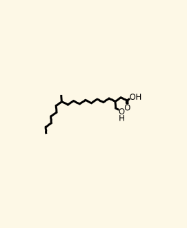 CCCCCCC(C)CCCCCCCCC(CO)CC(=O)O